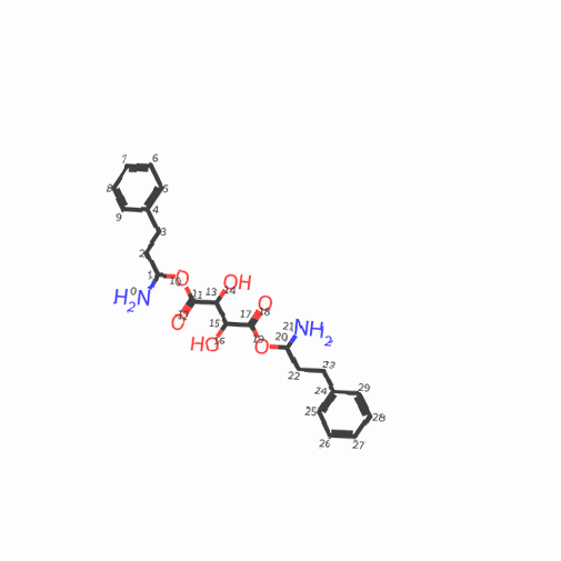 NC(CCc1ccccc1)OC(=O)C(O)C(O)C(=O)OC(N)CCc1ccccc1